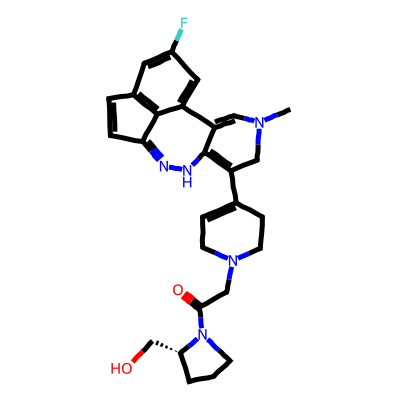 CN1C=C2C(=C(C3=CCN(CC(=O)N4CCC[C@@H]4CO)CC3)C1)NN=C1C=Cc3cc(F)cc2c31